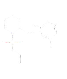 C=CCS(=O)(=O)N1CCCCC1OC.Cc1cc(C)cc(Br)c1